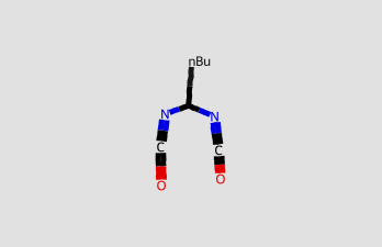 CCCCC(N=C=O)N=C=O